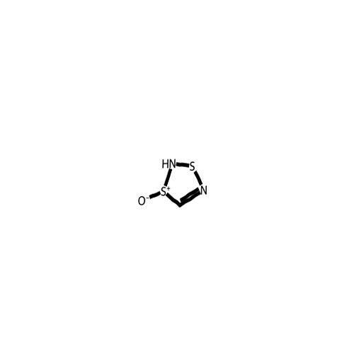 [O-][S+]1C=NSN1